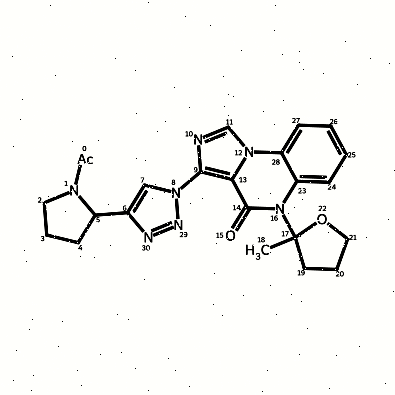 CC(=O)N1CCCC1c1cn(-c2ncn3c2c(=O)n(C2(C)CCCO2)c2ccccc23)nn1